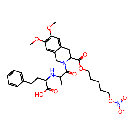 COc1cc2c(cc1OC)CN(C(=O)C(C)NC(CCc1ccccc1)C(=O)O)C(C(=O)OCCCCCO[N+](=O)[O-])C2